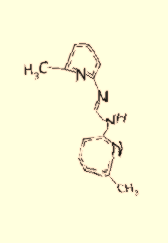 Cc1cccc(N=CNc2cccc(C)n2)n1